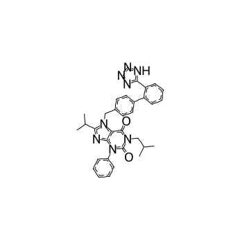 CC(C)Cn1c(=O)c2c(nc(C(C)C)n2Cc2ccc(-c3ccccc3-c3nnn[nH]3)cc2)n(-c2ccccc2)c1=O